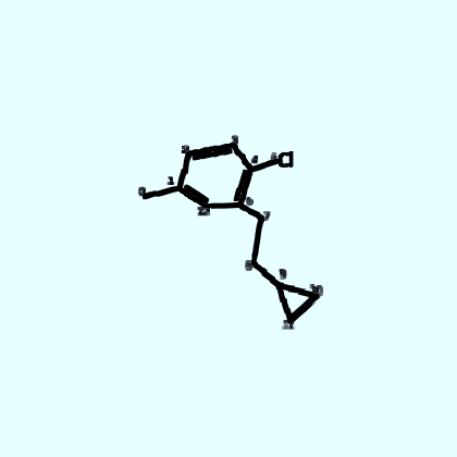 Cc1ccc(Cl)c(CCC2CC2)c1